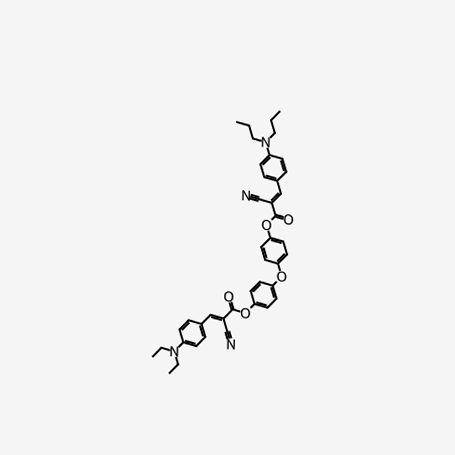 CCCN(CCC)c1ccc(/C=C(\C#N)C(=O)Oc2ccc(Oc3ccc(OC(=O)/C(C#N)=C/c4ccc(N(CC)CC)cc4)cc3)cc2)cc1